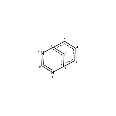 C1=Nc2cccc(c2)N=1